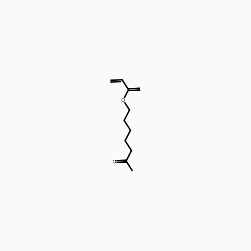 C=CC(=C)OCCCCCC(C)=O